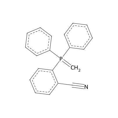 C=P(c1ccccc1)(c1ccccc1)c1ccccc1C#N